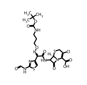 CC(C)(C)OC(=O)NCCCO/N=C(\C(=O)NC1C(=O)N2C(C(=O)O)=C(Cl)CS[C@H]12)c1csc(NC=O)n1